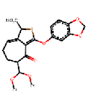 CCOC(=O)C1SC(Oc2ccc3c(c2)OCO3)=C2C(=O)C(C(OCC)OCC)CCC=C21